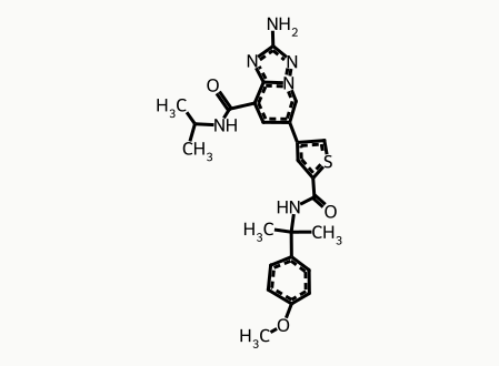 COc1ccc(C(C)(C)NC(=O)c2cc(-c3cc(C(=O)NC(C)C)c4nc(N)nn4c3)cs2)cc1